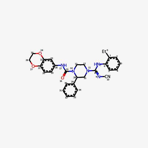 CCc1ccccc1N/C(=N\C#N)N1CCN(C(=O)Nc2ccc3c(c2)OCCO3)C(c2ccccc2)C1